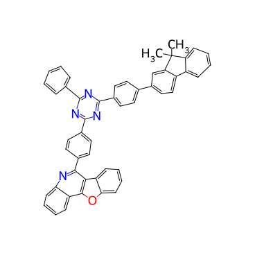 CC1(C)c2ccccc2-c2ccc(-c3ccc(-c4nc(-c5ccccc5)nc(-c5ccc(-c6nc7ccccc7c7oc8ccccc8c67)cc5)n4)cc3)cc21